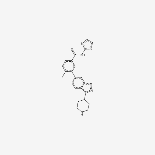 Cc1ccc(C(=O)Nc2nccs2)cc1-c1ccc2c(C3CCNCC3)noc2c1